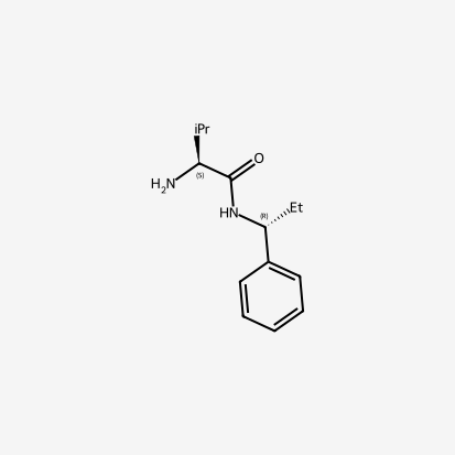 CC[C@@H](NC(=O)[C@@H](N)C(C)C)c1ccccc1